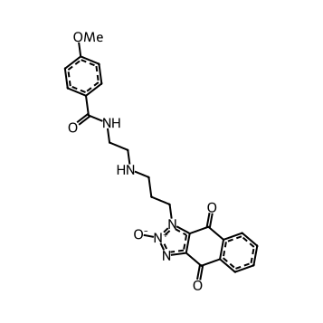 COc1ccc(C(=O)NCCNCCCn2c3c(n[n+]2[O-])C(=O)c2ccccc2C3=O)cc1